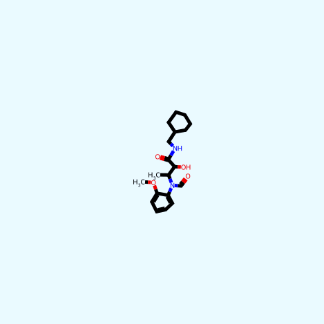 COc1ccccc1N(C=O)C(C)C(O)C(=O)NCC1CCCCC1